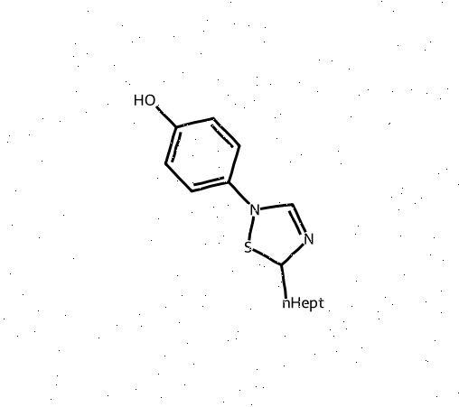 CCCCCCCC1N=CN(c2ccc(O)cc2)S1